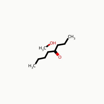 CCCCC(=O)CCC.CO